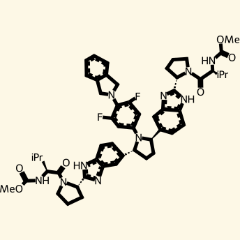 COC(=O)N[C@H](C(=O)N1CCC[C@H]1c1nc2cc([C@H]3CC[C@H](c4ccc5[nH]c([C@@H]6CCCN6C(=O)[C@@H](NC(=O)OC)C(C)C)nc5c4)N3c3cc(F)c(N4Cc5ccccc5C4)c(F)c3)ccc2[nH]1)C(C)C